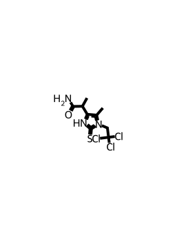 Cc1c(C(C)C(N)=O)[nH]c(=S)n1CC(Cl)(Cl)Cl